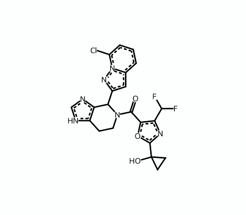 O=C(c1oc(C2(O)CC2)nc1C(F)F)N1CCc2[nH]cnc2C1c1cc2cccc(Cl)n2n1